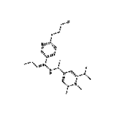 CC/C=C(/NC(C)C1=CC(C)N(C)C(C(C)C)=C1)c1ccc(CCCF)nc1